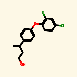 CC(CCO)c1ccc(Oc2ccc(Cl)cc2F)cc1